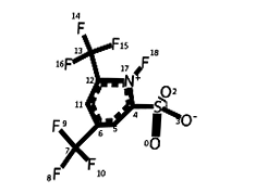 O=S(=O)([O-])c1cc(C(F)(F)F)cc(C(F)(F)F)[n+]1F